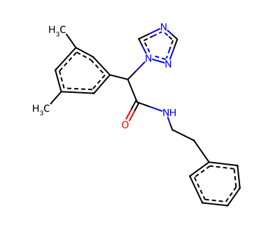 Cc1cc(C)cc(C(C(=O)NCCc2ccccc2)n2cncn2)c1